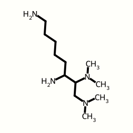 CN(C)CC(C(N)CCCCCN)N(C)C